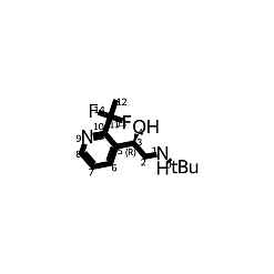 CC(C)(C)NC[C@H](O)c1cccnc1C(C)(F)F